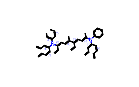 C=C/C=C\C(=C/C=C)N(/C(C=C)=C/C=C(C)/C(C=C)=C/C=C(\C)N(C(/C=C\C=C)=C/C=C)c1ccccc1)C(/C=C\C)=C/C